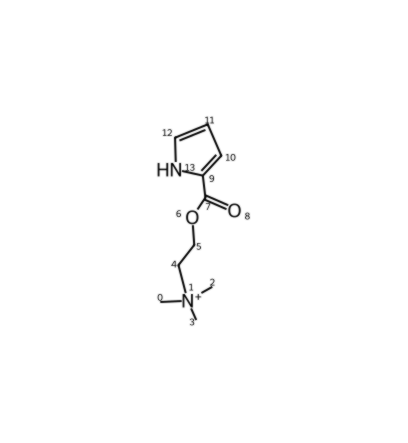 C[N+](C)(C)CCOC(=O)c1ccc[nH]1